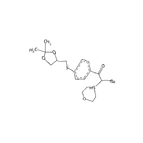 CC1(C)OCC(CSc2ccc(C(=O)C([SH]3CCOCC3)C(C)(C)C)cc2)O1